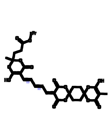 CCCOC(=O)CCC1(C)OC(=O)C(/C=C/C=C/C=C2C(=O)OC3(CCC4(CC3)OC(=O)C(C)=C(O)O4)OC2=O)=C(O)O1